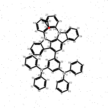 c1ccc(N(c2ccccc2)c2cc(-c3cc4c5ccccc5n(-c5ccccc5)c4c4c3c3ccccc3n4-c3ccccc3)cc(N(c3ccccc3)c3ccccc3)c2)cc1